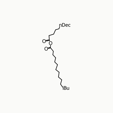 CCCCCCCCCCCCCCC(=O)OC(=O)CCCCCCCCCCC(C)CC